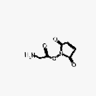 NCC(=O)ON1C(=O)C=CC1=O